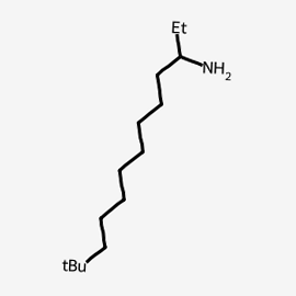 CCC(N)CCCCCCCCC(C)(C)C